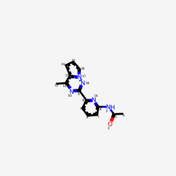 CC(=O)Nc1cccc(-c2nc(C)c3cccn3n2)n1